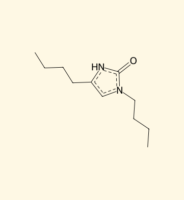 CCCCc1cn(CCCC)c(=O)[nH]1